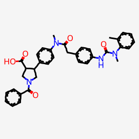 Cc1ccccc1N(C)C(=O)Nc1ccc(CC(=O)N(C)c2ccc(C3CN(C(=O)c4ccccc4)CC3C(=O)O)cc2)cc1